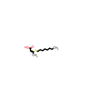 CCCCCCCCS/C(C)=C\C(=O)O